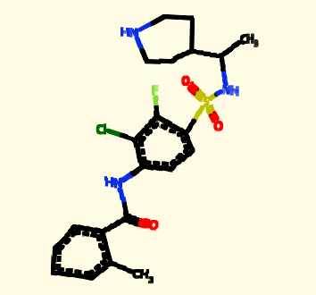 Cc1ccccc1C(=O)Nc1ccc(S(=O)(=O)NC(C)C2CCNCC2)c(F)c1Cl